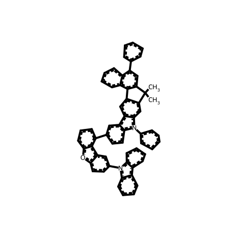 CC1(C)c2cc3c(cc2-c2c1cc(-c1ccccc1)c1ccccc21)c1cc(-c2cccc4oc5ccc(-n6c7ccccc7c7ccccc76)cc5c24)ccc1n3-c1ccccc1